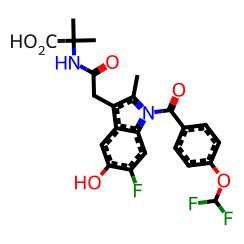 Cc1c(CC(=O)NC(C)(C)C(=O)O)c2cc(O)c(F)cc2n1C(=O)c1ccc(OC(F)F)cc1